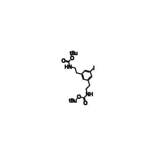 CC(C)(C)OC(=O)NCCc1cc(I)cc(CCNC(=O)OC(C)(C)C)c1